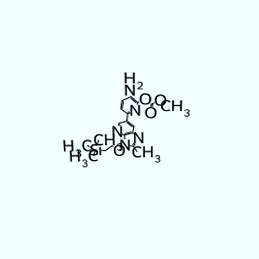 COC(=O)Oc1nc(-c2cnc3c(c2)nc(C)n3OCC[Si](C)(C)C)ccc1N